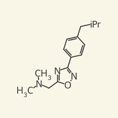 CC(C)Cc1ccc(-c2noc(CN(C)C)n2)cc1